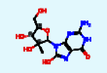 C[C@]1(O)C(n2c(O)nc3c(=O)[nH]c(N)nc32)O[C@H](CO)[C@H]1O